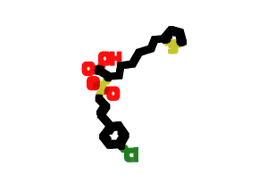 O=C(O)C(CCCCCCc1cccs1)S(=O)(=O)C/C=C/c1ccc(Cl)cc1